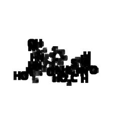 CC(=NO)C(C)(C)NCC(CNC(C)(C)C(C)=NO)C(C(=O)NC(CCC[C@@H]1SC[C@@H]2NC(=O)N[C@@H]21)C(=O)O)c1ccccc1